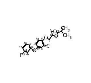 CC(C)C1OCC(COc2ccc(Oc3cccc(F)c3)cc2Cl)O1